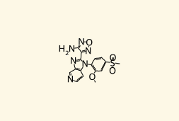 COc1cc(S(C)(=O)=O)ccc1-n1c(-c2nonc2N)nc2cnccc21